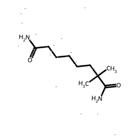 CC(C)(CCCCCC(N)=O)C(N)=O